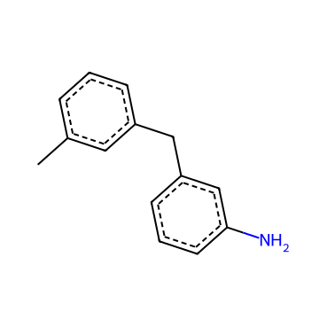 Cc1cccc(Cc2cccc(N)c2)c1